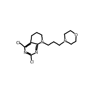 Clc1nc(Cl)c2c(n1)N(CCCN1CCOCC1)CCC2